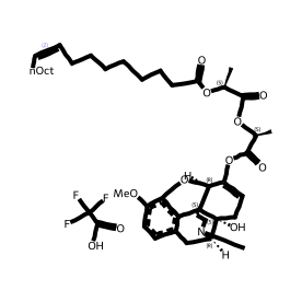 CCCCCCCC/C=C\CCCCCCCC(=O)O[C@@H](C)C(=O)O[C@@H](C)C(=O)OC1=CC[C@@]2(O)[C@H]3Cc4ccc(OC)c5c4[C@@]2(CCN3C)[C@H]1O5.O=C(O)C(F)(F)F